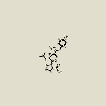 CC(C)C[C@H](NC(=O)[C@@H](N)Cc1ccc(O)cc1)C(=O)N1CCC[C@@H]1C(=O)O